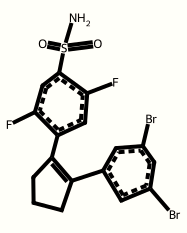 NS(=O)(=O)c1cc(F)c(C2=C(c3cc(Br)cc(Br)c3)CCC2)cc1F